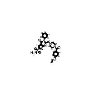 CCOc1ccc(C(=O)N2CCN(Cc3nc4sc(S(N)(=O)=O)cc4c(=O)n3-c3ccccc3)CC2)cc1